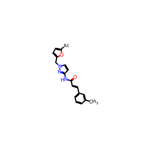 CC(=O)c1ccc(Cn2ccc(NC(=O)/C=C/c3cccc(C)c3)n2)o1